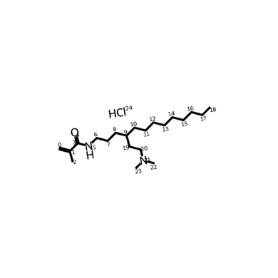 C=C(C)C(=O)NCCCC(CCCCCCCCC)CCN(C)C.Cl